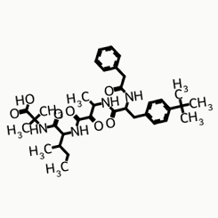 CCC(C)C(NC(=O)C(=O)C(C)NC(=O)C(Cc1ccc(C(C)(C)C)cc1)NC(=O)Cc1ccccc1)C(=O)NC(C)(C)C(=O)O